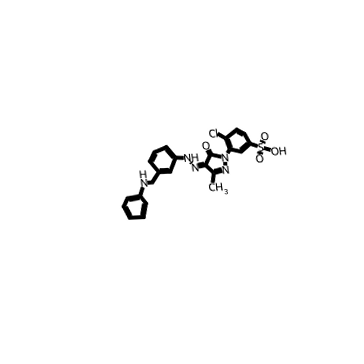 CC1=NN(c2cc(S(=O)(=O)O)ccc2Cl)C(=O)/C1=N\Nc1cccc(CNc2ccccc2)c1